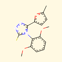 COc1cccc(OC)c1-n1c(S)nnc1-c1ccc(C)o1